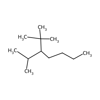 CCCCC(C(C)C)C(C)(C)C